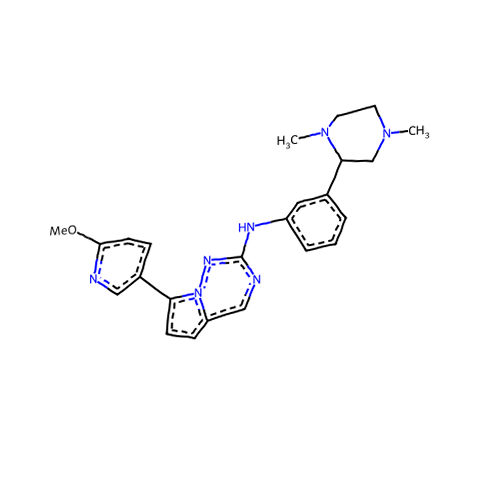 COc1ccc(-c2ccc3cnc(Nc4cccc(C5CN(C)CCN5C)c4)nn23)cn1